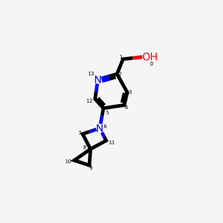 OCc1ccc(N2CC3(CC3)C2)cn1